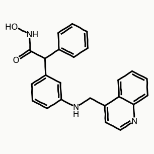 O=C(NO)C(c1ccccc1)c1cccc(NCc2ccnc3ccccc23)c1